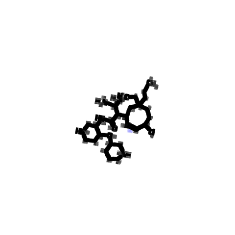 CCCC1(CC)CCC(Cl)/C=N\C(C(C(=O)NC2CNCCC2OC2CCCNC2)C(N)N)C1